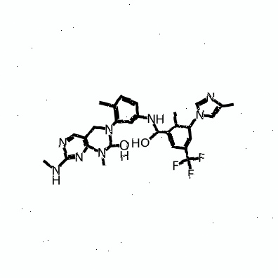 CNc1ncc2c(n1)N(C)C(O)N(c1cc(NC(O)C3=CC(C(F)(F)F)=CC(n4cnc(C)c4)C3C)ccc1C)C2